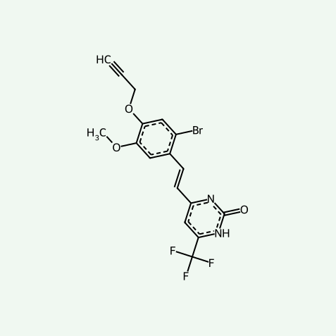 C#CCOc1cc(Br)c(/C=C/c2cc(C(F)(F)F)[nH]c(=O)n2)cc1OC